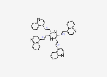 C(=C\c1ccnc2ccccc12)/c1nc(/C=C/c2ccnc3ccccc23)c(/C=C/c2ccnc3ccccc23)nc1/C=C/c1ccnc2ccccc12